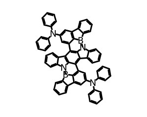 c1ccc(N(c2ccccc2)c2cc3c4c(c2)-c2c5c6ccccc6n6c5c(c5c7ccccc7n(c25)B4c2ccccc2-3)-c2cc(N(c3ccccc3)c3ccccc3)cc3c2B6c2ccccc2-3)cc1